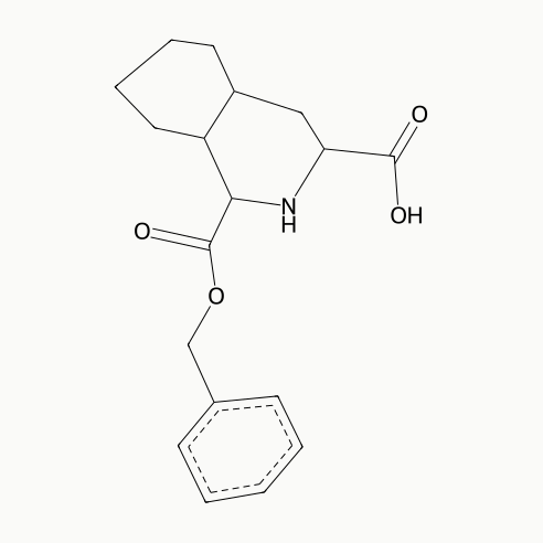 O=C(O)C1CC2CCCCC2C(C(=O)OCc2ccccc2)N1